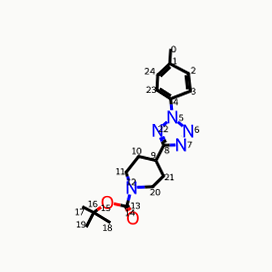 Cc1ccc(-n2nnc(C3CCN(C(=O)OC(C)(C)C)CC3)n2)cc1